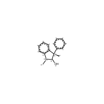 C[C@]1(c2ccccc2)c2ccccc2N(I)C1O